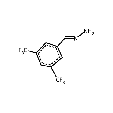 NN=Cc1cc(C(F)(F)F)cc(C(F)(F)F)c1